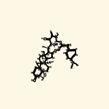 C=C(C(=O)[C@H](OC(C)=O)[C@@H](C)[C@H]1[C@@H](OC(C)=O)C[C@@]2(C)[C@@H]3CC[C@H]4[C@H](C)C(=O)C=C[C@@]45C[C@@]35CC[C@]12C)[C@@H](C)COC(=O)Nc1ccc(N(C)C)cc1